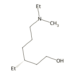 CC[C@@H](CCO)CCCN(C)CC